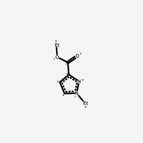 CCOC(=O)c1ccn(CC)n1